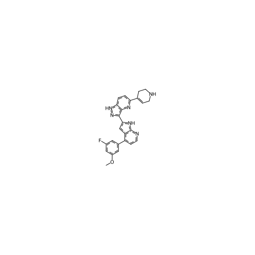 COc1cc(F)cc(-c2ccnc3[nH]c(-c4n[nH]c5ccc(C6=CCNCC6)nc45)cc23)c1